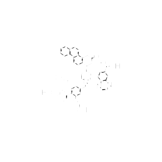 CCOC(=O)c1c(OCC)cc(CN2CCC(C3CC(=O)Cc4c3ccc3c4ccc4ccccc43)CC2)cc1OCC.O=C(O)c1ccc2nccnc2c1